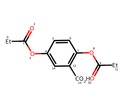 CCC(=O)Oc1ccc(OC(=O)CC)c(C(=O)O)c1